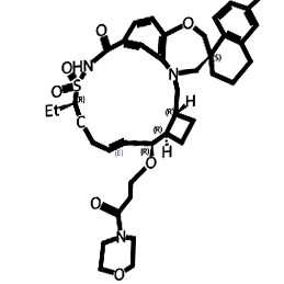 CC[C@@H]1CC/C=C/[C@H](OCCC(=O)N2CCOCC2)[C@@H]2CC[C@H]2CN2C[C@@]3(CCCc4cc(Cl)ccc43)COc3ccc(cc32)C(=O)NS1(=O)=O